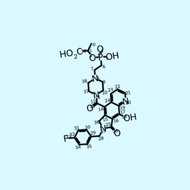 CC(OP(=O)(O)CCN1CCN(C(=O)c2c3c(c(O)c4ncccc24)C(=O)N(Cc2ccc(F)cc2)C3)CC1)C(=O)O